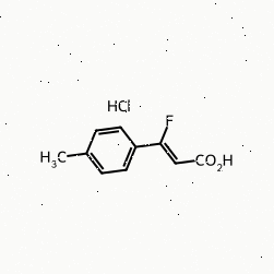 Cc1ccc(C(F)=CC(=O)O)cc1.Cl